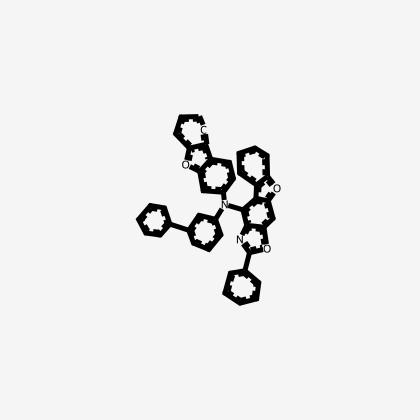 c1ccc(-c2cccc(N(c3ccc4c(c3)oc3ccccc34)c3c4nc(-c5ccccc5)oc4cc4oc5ccccc5c34)c2)cc1